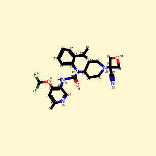 Cc1cc(OC(F)F)c(NC(=O)N(c2ccccc2C(C)C)C2CCN(C3(C#N)COC3)CC2)cn1